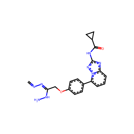 C=N/N=C(/COc1ccc(-c2cccc3nc(NC(=O)C4CC4)nn23)cc1)NN